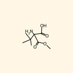 COC(=O)C(N)(C(=O)O)C(C)(C)C